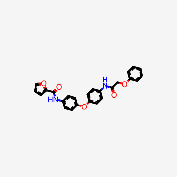 O=C(COc1ccccc1)Nc1ccc(Oc2ccc(NC(=O)c3ccco3)cc2)cc1